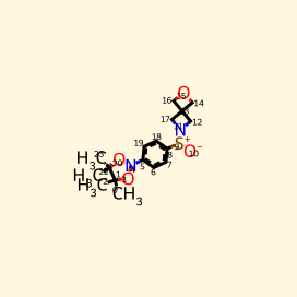 CC1(C)ON(c2ccc([S+]([O-])N3CC4(COC4)C3)cc2)OC1(C)C